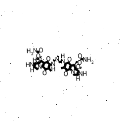 CO[C@@]12[C@H](COC(N)=O)C3=C(C(=O)C(C)=C(NCN(C)CNC4=C(C)C(=O)C5=C(C4=O)[C@@H](COC(N)=O)[C@@]4(OC)C6N[C@H]6CN54)C3=O)N1C[C@@H]1N[C@@H]12